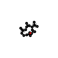 c1ccc(-c2nc(-c3cccc(-c4cccc(-c5ccc(-n6c7ccccc7c7ccccc76)cc5)c4)c3)nc(-c3cccc(-c4ccc5c(c4)c4cc(-c6cc(-c7ccc8c(c7)c7ccccc7n8-c7ccccc7)cc(-c7nc(-c8ccccc8)nc(-c8ccccc8)n7)c6)ccc4n5-c4ccccc4)c3)n2)cc1